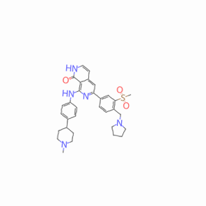 CN1CCC(c2ccc(Nc3nc(-c4ccc(CN5CCCC5)c(S(C)(=O)=O)c4)cc4cc[nH]c(=O)c34)cc2)CC1